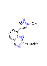 COc1ncc2cccc(-c3cnn(C)c3)c2n1